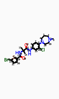 CN1CCCN(c2ccc(NC(=O)C(C)(C)NC(=O)c3ccc(Br)s3)cc2Cl)CC1